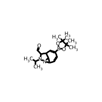 CC(C)N1C(C=O)C2C=C(B3OC(C)(C)C(C)(C)O3)C=CC3C2N31